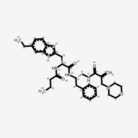 C=C(CN1CCOCC1)C(=O)NC[C@H](Cc1ccccc1)NC(=O)[C@H](Cc1nc2ccc(CC)cc2s1)NC(=O)CCC